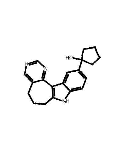 OC1(c2ccc3[nH]c4c(c3c2)-c2ncncc2CCC4)CCCC1